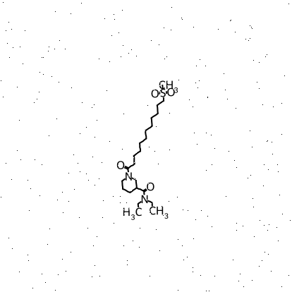 CCN(CC)C(=O)C1CCCN(C(=O)CCCCCCCCCCCS(C)(=O)=O)C1